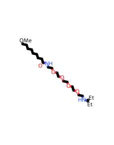 CCC(CC)NCCOCCOCCOCCOCCNC(=O)CCCCCCCCOC